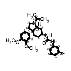 COc1ccc([C@@]23CC[C@@H](NC(=O)Nc4cccc(F)c4)C[C@@H]2N(C(C)C)CC3)cc1OC